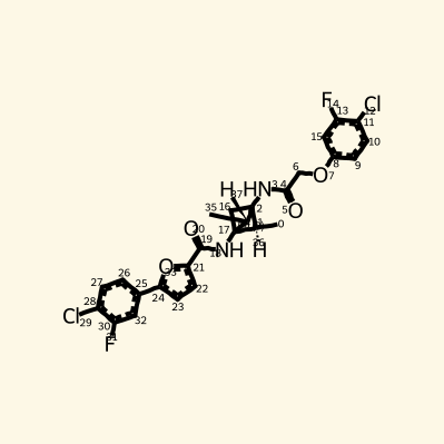 C[C@@H]1C2(NC(=O)COc3ccc(Cl)c(F)c3)CC1(NC(=O)c1ccc(-c3ccc(Cl)c(F)c3)o1)[C@@H]2C